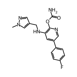 Cn1cc(CNc2cc(-c3ccc(F)cc3)cnc2OC(N)=O)cn1